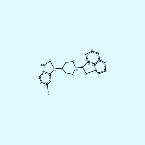 Fc1ccc2c(c1)N(C1CCN(C3Cc4cccc5cccc3c45)CC1)[CH]N2